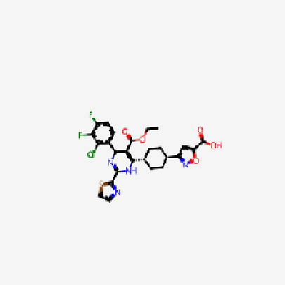 CCOC(=O)C1=C([C@H]2CC[C@H](c3cc(C(=O)O)on3)CC2)NC(c2nccs2)=NC1c1ccc(F)c(F)c1Cl